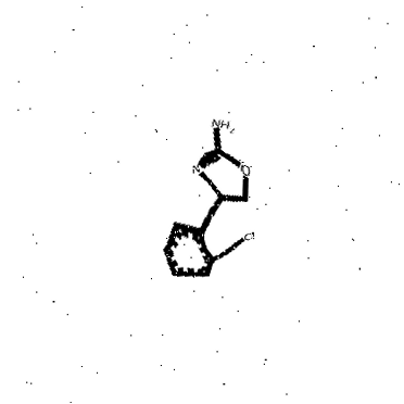 NC1=NC(c2ccccc2Cl)CO1